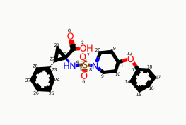 O=C(O)[C@@]1(NS(=O)(=O)N2CCC(Oc3ccccc3)CC2)C[C@H]1c1ccccc1